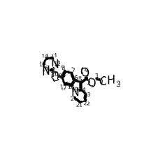 CCOC(=O)c1c2ccc(Oc3ncccn3)cc2n2ccccc12